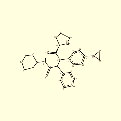 O=C(NC1CCCCC1)C(c1cccnc1)N(C(=O)[C@H]1CCCN1)c1ccc(C2CC2)cc1